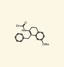 CCC(=O)NC1=C(Cc2ccccc2)c2cc(OC)ccc2CC1